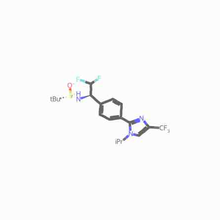 CC(C)n1cc(C(F)(F)F)nc1-c1ccc([C@@H](N[S@@+]([O-])C(C)(C)C)C(F)F)cc1